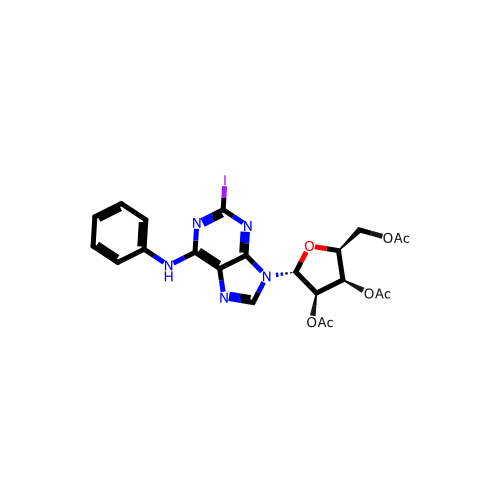 CC(=O)OC[C@@H]1O[C@@H](n2cnc3c(Nc4ccccc4)nc(I)nc32)[C@H](OC(C)=O)[C@@H]1OC(C)=O